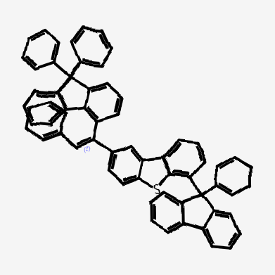 C1=CC(/C=C(/c2ccc3sc4c(C5(C6=CCCC=C6)c6ccccc6-c6ccccc65)cccc4c3c2)c2cccc3c2-c2ccccc2C3(c2ccccc2)c2ccccc2)=CCC1